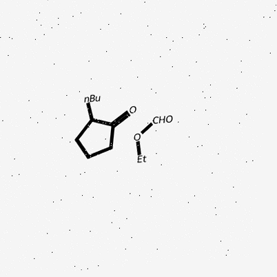 CCCCC1CCCC1=O.CCOC=O